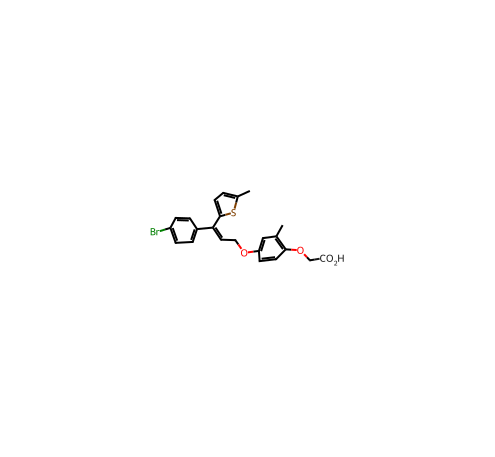 Cc1ccc(/C(=C\COc2ccc(OCC(=O)O)c(C)c2)c2ccc(Br)cc2)s1